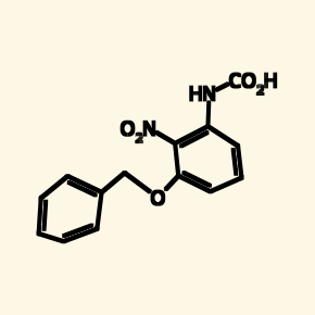 O=C(O)Nc1cccc(OCc2ccccc2)c1[N+](=O)[O-]